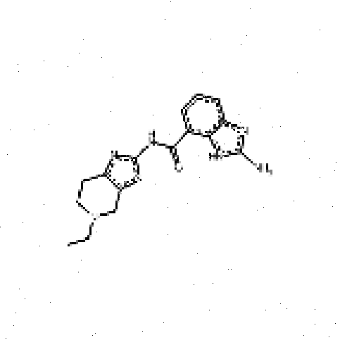 CCN1CCc2nc(NC(=O)c3cccc4nc(N)[nH]c34)sc2C1